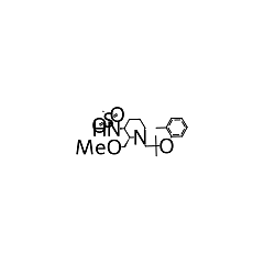 COC[C@H]1[C@@H](NS(C)(=O)=O)CCCN1CC(C)(C)Oc1ccccc1C